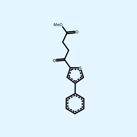 COC(=O)CCC(=O)c1cc(-c2ccccc2)cs1